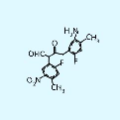 Cc1cc(F)c(CC(=O)C(C=O)c2cc([N+](=O)[O-])c(C)cc2F)cc1N